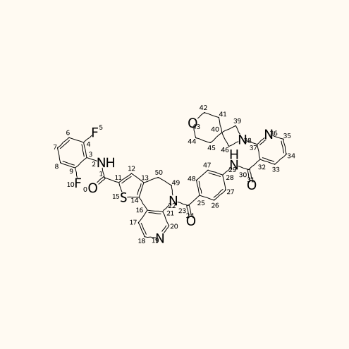 O=C(Nc1c(F)cccc1F)c1cc2c(s1)-c1ccncc1N(C(=O)c1ccc(NC(=O)c3cccnc3N3CC4(CCOCC4)C3)cc1)CC2